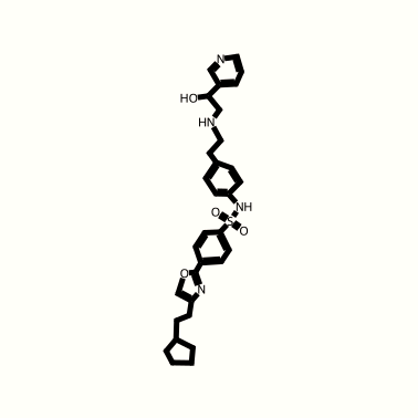 O=S(=O)(Nc1ccc(CCNCC(O)c2cccnc2)cc1)c1ccc(-c2nc(CCC3CCCC3)co2)cc1